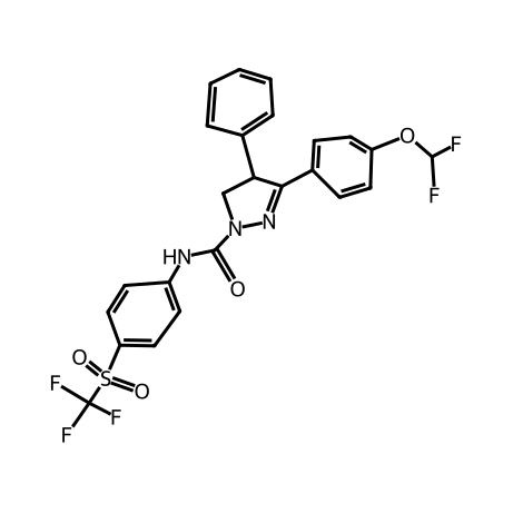 O=C(Nc1ccc(S(=O)(=O)C(F)(F)F)cc1)N1CC(c2ccccc2)C(c2ccc(OC(F)F)cc2)=N1